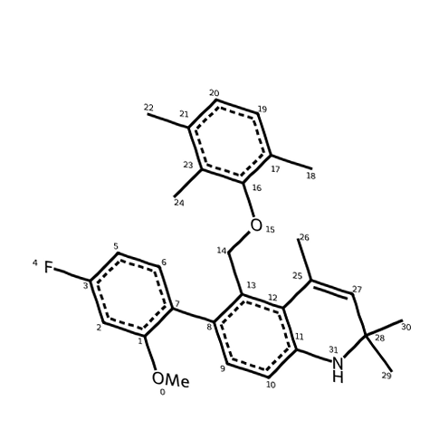 COc1cc(F)ccc1-c1ccc2c(c1COc1c(C)ccc(C)c1C)C(C)=CC(C)(C)N2